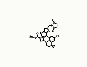 CC(C)(C)OC(=O)N1CC(N2CCC3(CC3)c3cc(Cl)cc(-c4ccnc5cc(CN6C(=O)CCC6=O)sc45)c32)C1